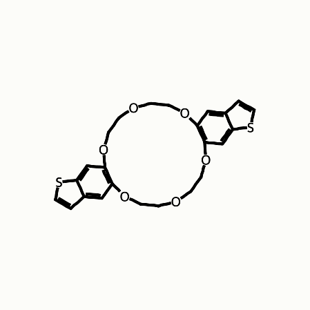 c1cc2cc3c(cc2s1)OCCOCCOc1cc2ccsc2cc1OCCOCCO3